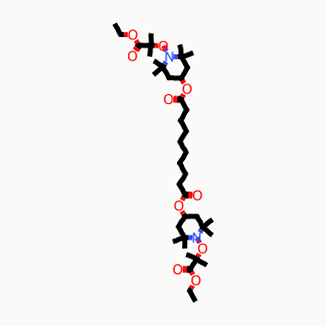 CCOC(=O)C(C)(C)ON1C(C)(C)CC(OC(=O)CCCCCCCCC(=O)OC2CC(C)(C)N(OC(C)(C)C(=O)OCC)C(C)(C)C2)CC1(C)C